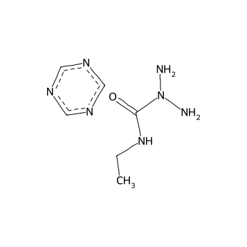 CCNC(=O)N(N)N.c1ncncn1